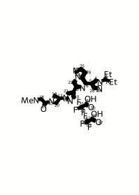 CCC(CC)n1cc(-c2nc(-c3cnn(C4CN(C(=O)CNC)C4)c3)cn3nccc23)cn1.O=C(O)C(F)(F)F.O=C(O)C(F)(F)F